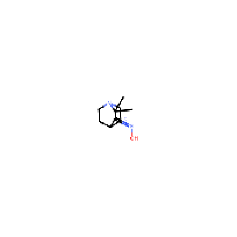 CC1(C)/C(=N/O)C2CCN1CC2